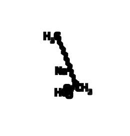 CCCCCCCCC=CCCCCCCCCN(C)CCS(=O)(=O)O.[Na]